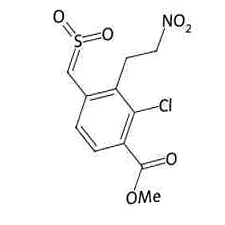 COC(=O)c1ccc(C=S(=O)=O)c(CC[N+](=O)[O-])c1Cl